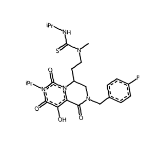 CC(C)NC(=S)N(C)CCC1CN(Cc2ccc(F)cc2)C(=O)c2c(O)c(=O)n(C(C)C)c(=O)n21